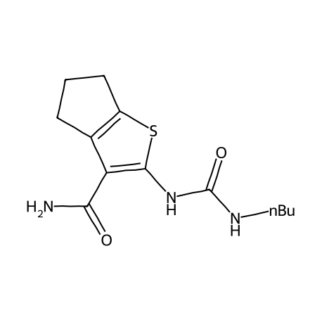 CCCCNC(=O)Nc1sc2c(c1C(N)=O)CCC2